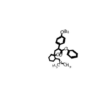 CC(C)COc1ccc(C(CC2(O)CCCCC2CN(C)C)C(=O)Oc2ccccc2)cc1